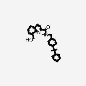 CC(C)(c1ccccc1)c1ccc(CNC(=O)c2ccc3cccc(CO)c3n2)cc1